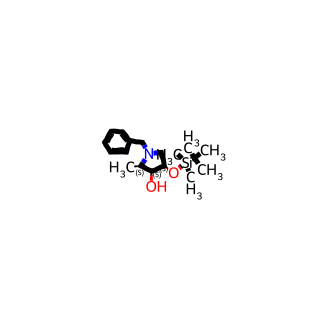 C[C@H]1[C@H](O)[C@@H](O[Si](C)(C)C(C)(C)C)CN1Cc1ccccc1